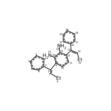 CC/C=C(/c1ccccc1)c1ccc(/C(=C\CC)c2ccccc2)c(N)c1N